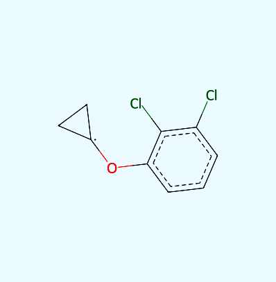 Clc1cccc(O[C]2CC2)c1Cl